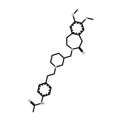 COc1cc2c(cc1OC)CC(=O)N(CC1CCCN(CCc3ccc(NC(C)=O)cc3)C1)CC2